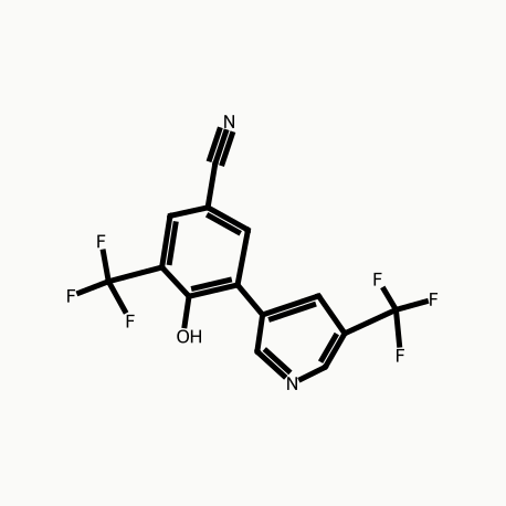 N#Cc1cc(-c2cncc(C(F)(F)F)c2)c(O)c(C(F)(F)F)c1